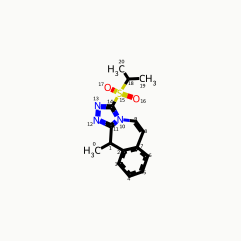 CC1c2ccccc2C=Cn2c1nnc2S(=O)(=O)C(C)C